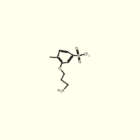 Cc1ccc(S(=O)(=O)C(F)(F)F)cc1OCCCN